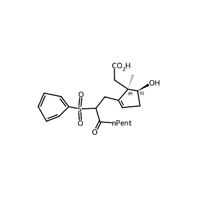 CCCCCC(=O)C(CC1=CC[C@H](O)[C@]1(C)CC(=O)O)S(=O)(=O)c1ccccc1